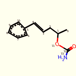 CC(CC=Cc1ccccc1)OC(N)=O